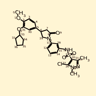 COc1ccc(C2CC(=O)N(c3cccc(NS(=O)(=O)c4c(C)nn(C)c4Cl)c3)C2)cc1OC1CCCC1